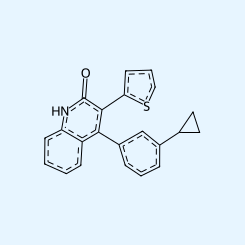 O=c1[nH]c2ccccc2c(-c2cccc(C3CC3)c2)c1-c1cccs1